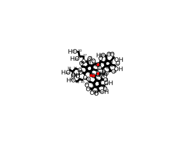 O=C(O)c1c(C(=O)O)c(C(=O)O)c(C(=O)OC(=O)c2c(C(=O)O)c(C(=O)OCC(O)CO)c(C(=O)OCC(O)CO)c(C(=O)OCC(O)CO)c2C(=O)OC(=O)c2c(C(=O)O)c(C(=O)O)c(C(=O)O)c(C(=O)O)c2C(=O)O)c(C(=O)O)c1C(=O)O